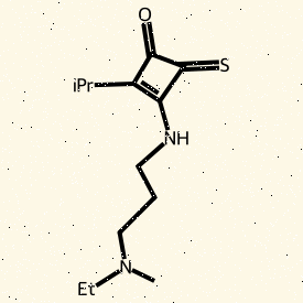 CCN(C)CCCNc1c(C(C)C)c(=O)c1=S